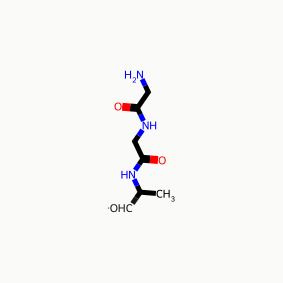 CC([C]=O)NC(=O)CNC(=O)CN